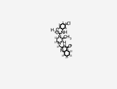 Cc1ccc(Cl)cc1NC(=O)N1CCN(Cc2nc3ccccc3c(=O)[nH]2)CC1C